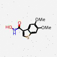 COc1cc2scc(C(=O)NO)c2cc1OC